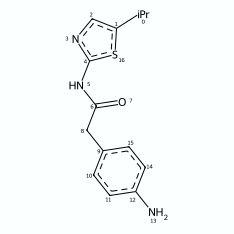 CC(C)c1cnc(NC(=O)Cc2ccc(N)cc2)s1